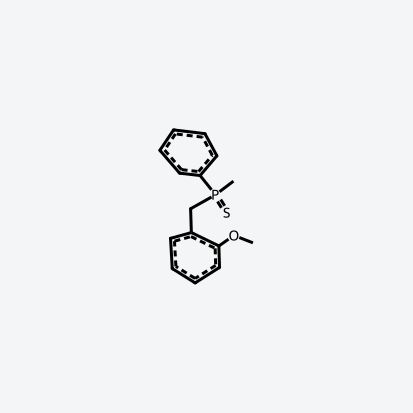 COc1ccccc1CP(C)(=S)c1ccccc1